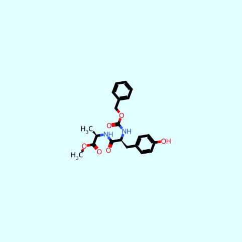 COC(=O)[C@@H](C)NC(=O)[C@H](Cc1ccc(O)cc1)NC(=O)OCc1ccccc1